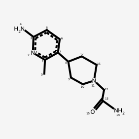 Cc1nc(N)ccc1C1CCN(CC(N)=O)CC1